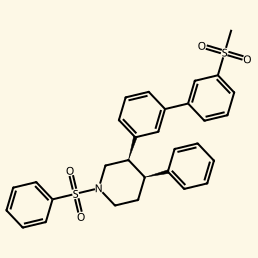 CS(=O)(=O)c1cccc(-c2cccc([C@@H]3CN(S(=O)(=O)c4ccccc4)CC[C@@H]3c3ccccc3)c2)c1